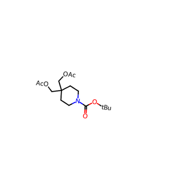 CC(=O)OCC1(COC(C)=O)CCN(C(=O)OC(C)(C)C)CC1